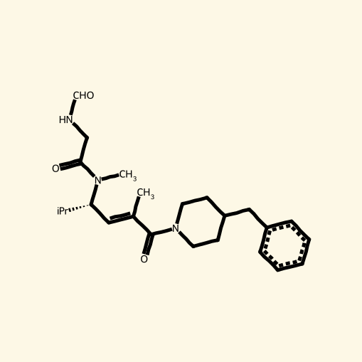 C/C(=C\[C@H](C(C)C)N(C)C(=O)CNC=O)C(=O)N1CCC(Cc2ccccc2)CC1